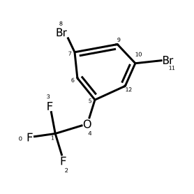 FC(F)(F)Oc1cc(Br)cc(Br)c1